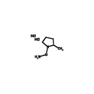 CC1CCCN1ON.Cl.Cl